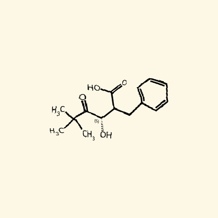 CC(C)(C)C(=O)[C@@H](O)C(Cc1ccccc1)C(=O)O